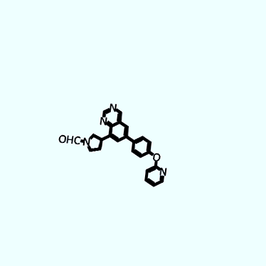 O=CN1CCC(c2cc(-c3ccc(Oc4ccccn4)cc3)cc3cncnc23)C1